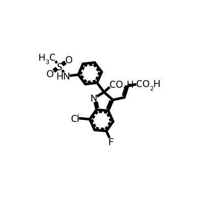 CS(=O)(=O)Nc1cccc(C2(C(=O)O)N=c3c(Cl)cc(F)cc3=C2C=CC(=O)O)c1